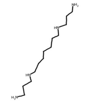 NCCCNCCCCCCCNCCCN